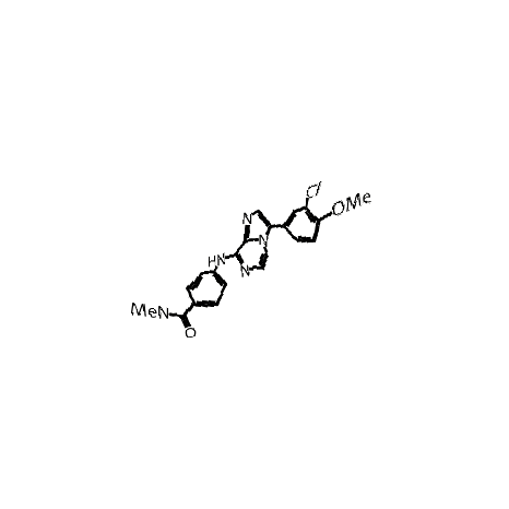 CNC(=O)c1ccc(Nc2nccn3c(-c4ccc(OC)c(Cl)c4)cnc23)cc1